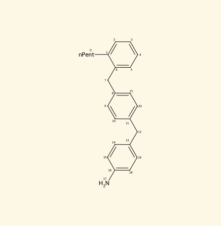 CCCCCc1ccccc1Cc1ccc(Cc2ccc(N)cc2)cc1